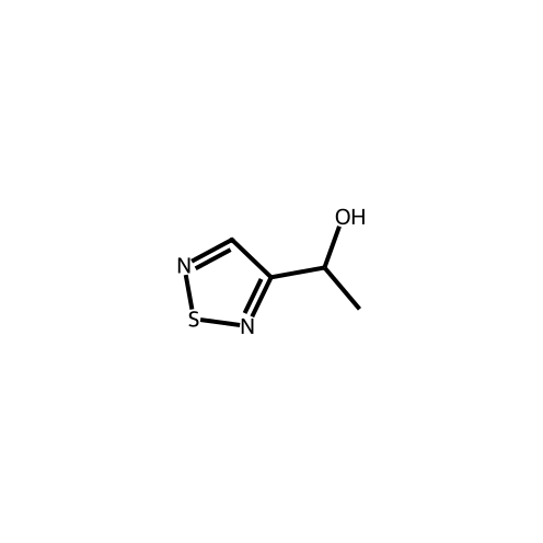 CC(O)c1cnsn1